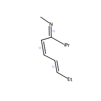 CC/C=C/C=C\C(=N/C)C(C)C